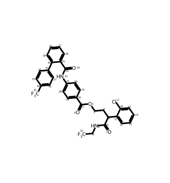 O=C(OCCC(C(=O)NCC(F)(F)F)c1ccccc1Cl)c1ccc(NC(=O)c2ccccc2-c2ccc(C(F)(F)F)cc2)cc1